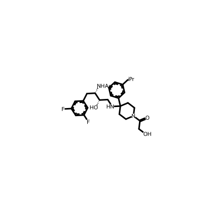 CC(=O)N[C@@H](Cc1cc(F)cc(F)c1)[C@@H](O)CNC1(c2cccc(C(C)C)c2)CCN(C(=O)CO)CC1